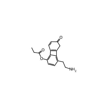 CCC(=O)Oc1ccc(CCN)c2c1C1=C2CC(=O)C=C1